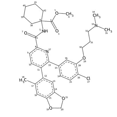 COC(=O)C1(NC(=O)c2ccc(-c3cc4c(cc3C)OCO4)c(-c3ccc(Cl)c(OCCCN(C)C)c3)n2)CCCCC1